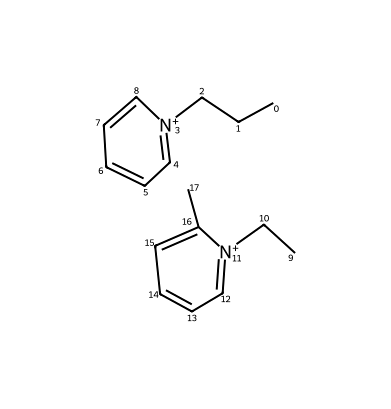 CCC[n+]1ccccc1.CC[n+]1ccccc1C